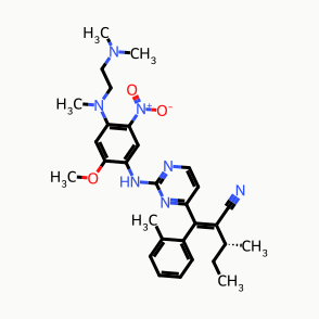 CC[C@@H](C)/C(C#N)=C(/c1ccnc(Nc2cc([N+](=O)[O-])c(N(C)CCN(C)C)cc2OC)n1)c1ccccc1C